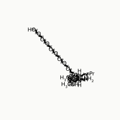 CCCNCCN[Si](C)(O)O[Si](C)(CCCOCCOCCOCCOCCOCCOCCOCCOCCO)O[Si](C)(C)O[Si](C)(O)CCCNCCN